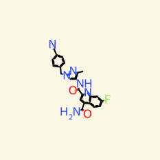 Cc1nn(Cc2ccc(C#N)cc2)cc1NC(=O)c1cc(C(N)=O)c2ccc(F)cc2n1